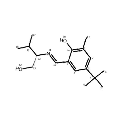 Cc1cc(C(C)(C)C)cc(C=N[C@H](CO)C(C)C)c1O